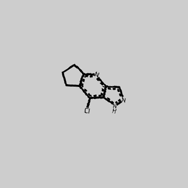 Clc1c2c(nc3cn[nH]c13)CCC2